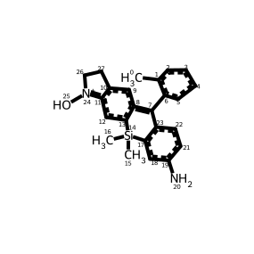 Cc1ccccc1C1=c2cc3c(cc2[Si](C)(C)c2cc(N)ccc21)=[N+](O)CC3